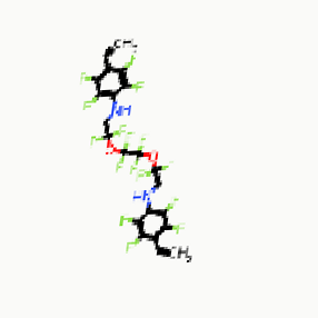 C=Cc1c(F)c(F)c(NCC(F)(F)OC(F)(F)C(F)(F)OC(F)(F)CNc2c(F)c(F)c(C=C)c(F)c2F)c(F)c1F